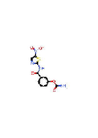 NC(=O)Oc1cccc(C(=O)Nc2ncc([N+](=O)[O-])s2)c1